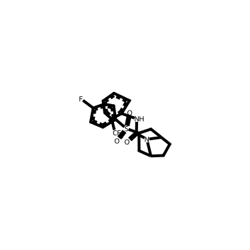 O=C(Nc1ccccc1C(F)(F)F)N1C2CCC1CC(S(=O)(=O)c1ccc(F)cc1)C2